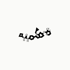 O=C(Nc1ccc(-c2cc3ccc(Oc4ncccc4C(F)(F)F)cc3n2CC2CC2)cc1)NC1CCC1